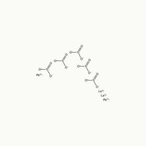 [La+3].[La+3].[O]=[Ti]([O-])[O-].[O]=[Ti]([O-])[O-].[O]=[Ti]([O-])[O-].[O]=[Ti]([O-])[O-].[O]=[Ti]([O-])[O-].[Pb+2].[Pb+2]